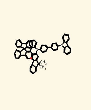 CC1(C)c2ccccc2-c2ccc(N(c3ccc(-c4ccc(-n5c6ccccc6c6ccccc65)cc4)cc3)c3ccccc3-c3cccc4c3C3(c5ccccc5-c5ccccc53)c3ccccc3-4)cc21